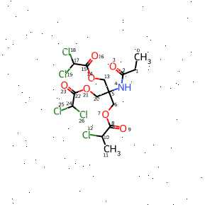 CCC(=O)NC(COC(=O)C(C)Cl)(COC(=O)C(Cl)Cl)COC(=O)C(Cl)Cl